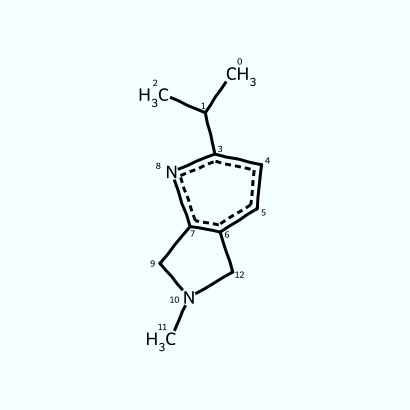 CC(C)c1ccc2c(n1)CN(C)C2